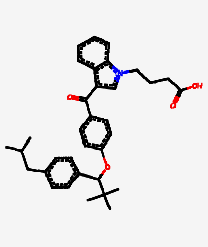 CC(C)Cc1ccc(C(Oc2ccc(C(=O)c3cn(CCCC(=O)O)c4ccccc34)cc2)C(C)(C)C)cc1